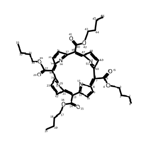 CCCCOC(=O)C1=C2C=CC(=N2)C(C(=O)OCCCC)=C2C=CC(=N2)C(C(=O)OCCCC)=C2C=CC(=N2)C(C(=O)OCCCC)=C2C=CC1=N2